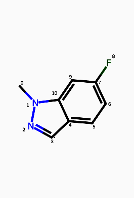 Cn1n[c]c2ccc(F)cc21